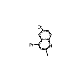 CCc1ccc2nc(C)cc(C(C)C)c2c1